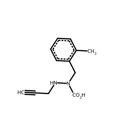 C#CCNN(Cc1ccccc1C)C(=O)O